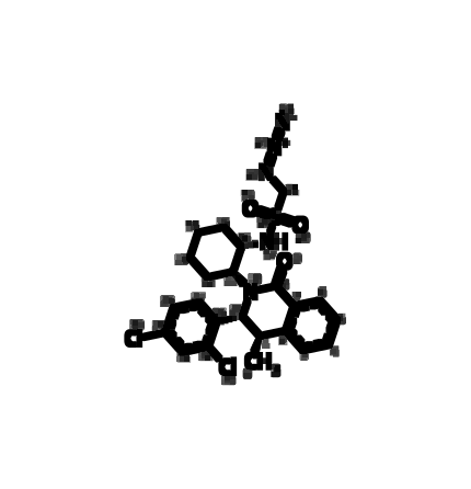 C[C@@H]1c2ccccc2C(=O)N([C@H]2CCCC[C@@H]2NS(=O)(=O)CN=[N+]=[N-])[C@H]1c1ccc(Cl)cc1Cl